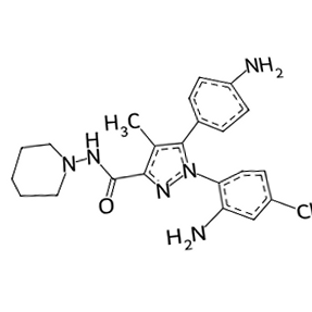 Cc1c(C(=O)NN2CCCCC2)nn(-c2ccc(Cl)cc2N)c1-c1ccc(N)cc1